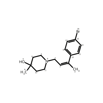 C/C(=C/CN1CCC(C)(O)CC1)c1ccc(Br)cc1